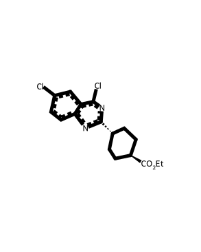 CCOC(=O)[C@H]1CC[C@H](c2nc(Cl)c3cc(Cl)ccc3n2)CC1